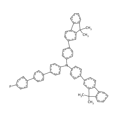 CC1(C)c2ccccc2-c2ccc(-c3ccc(N(c4ccc(-c5ccc(-c6ccc(F)cc6)cc5)cc4)c4ccc(-c5ccc6c(c5)C(C)(C)c5ccccc5-6)cc4)cc3)cc21